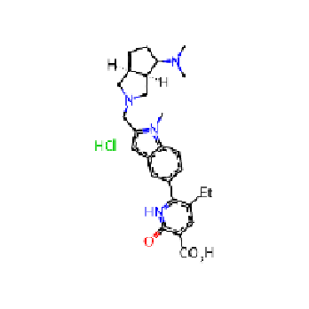 CCc1cc(C(=O)O)c(=O)[nH]c1-c1ccc2c(c1)cc(CN1C[C@H]3CC[C@@H](N(C)C)[C@H]3C1)n2C.Cl